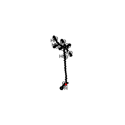 CC(CCCCCCCCCCCCCCCCCCCCCC(=O)NCCCCCCC(CN(CCCC(C)(CCCNC(=O)OC(C)(C)C)NC(=O)OC(C)(C)C)C(=O)OC(C)(C)C)C(CCCCNC(=O)OC(C)(C)C)(CCCNC(=O)OC(C)(C)C)N(C)C(=O)OC(C)(C)C)NC(=O)OCc1ccccc1